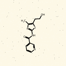 Cc1nc(NC(=O)c2cccnc2)sc1CCO